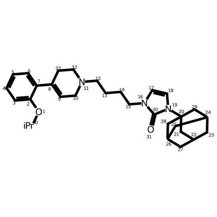 CC(C)Oc1ccccc1C1=CCN(CCCCn2ccn(C34CC5CC(CC(C5)C3)C4)c2=O)CC1